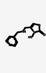 CCCN1C(=O)[N]C=C1CNCc1ccncc1